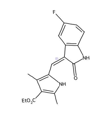 CCOC(=O)c1c(C)[nH]c(/C=C2\C(=O)Nc3ccc(F)cc32)c1C